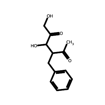 CC(=O)C(Cc1ccccc1)C(O)C(=O)CO